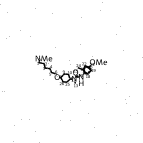 CNCCCCCCOC1CCC(N(C)C(=O)Nc2ccc(OC)cc2C)CC1